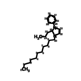 CCCCCCCCCCCN1C=CN(c2ccccc2)C1CCC